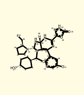 CC([C@H]1CC[C@H](C)CC1)N1C2=C(c3cncc(Cl)c3)N=C(c3n[nH]c(=O)o3)N[C@H]2N[C@H]1N1CCC[C@H]1CF